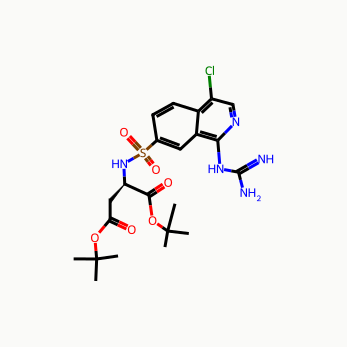 CC(C)(C)OC(=O)C[C@@H](NS(=O)(=O)c1ccc2c(Cl)cnc(NC(=N)N)c2c1)C(=O)OC(C)(C)C